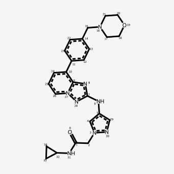 O=C(Cn1cc(Nc2nc3c(-c4ccc(CN5CCOCC5)cc4)cccn3n2)cn1)NC1CC1